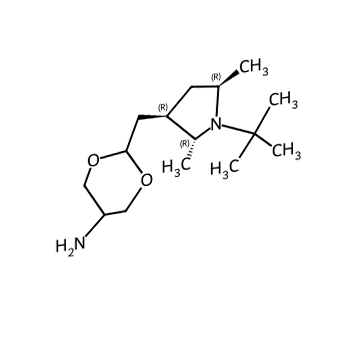 C[C@@H]1C[C@H](CC2OCC(N)CO2)[C@@H](C)N1C(C)(C)C